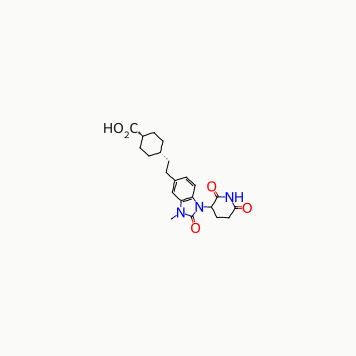 Cn1c(=O)n(C2CCC(=O)NC2=O)c2ccc(CC[C@H]3CC[C@H](C(=O)O)CC3)cc21